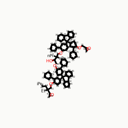 CCCC(CCC)(COc1ccc(C2(c3ccc(OCC4CO4)c(-c4ccccc4)c3)c3ccccc3-c3ccccc32)cc1-c1ccccc1)C(O)COc1ccc(C2(c3ccc(OCC(CC)(CCC(C)C)C4CO4)c(-c4ccccc4)c3)c3ccccc3-c3ccccc32)cc1-c1ccccc1